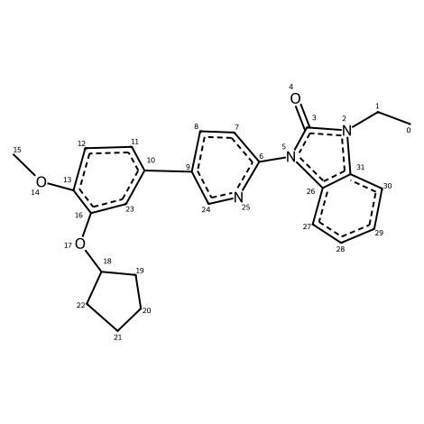 CCn1c(=O)n(-c2ccc(-c3ccc(OC)c(OC4CCCC4)c3)cn2)c2ccccc21